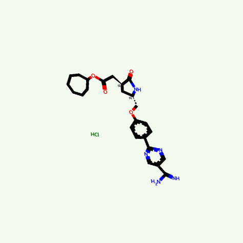 Cl.N=C(N)c1cnc(-c2ccc(OC[C@@H]3C[C@@H](CC(=O)OC4CCCCCC4)C(=O)N3)cc2)nc1